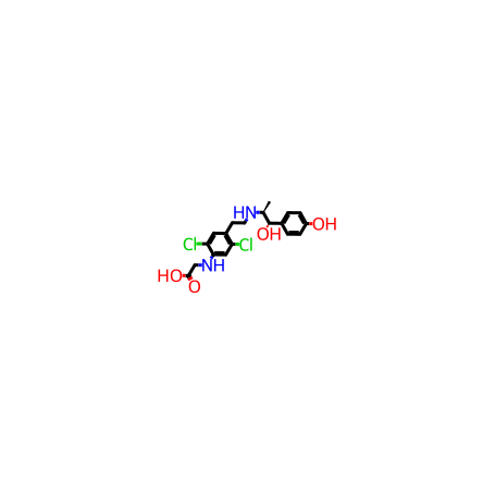 C[C@H](NCCc1cc(Cl)c(NCC(=O)O)cc1Cl)[C@@H](O)c1ccc(O)cc1